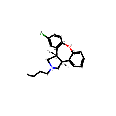 CCCCN1C[C@@H]2c3ccccc3Oc3ccc(Cl)cc3[C@H]2C1